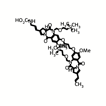 CC=CC1=CN2C(=O)c3cc(OC)c(OCCCOc4cc5c(cc4OC)C(=O)N4C=C(C=CCNC(=O)O)C[C@H]4C(=O)N5COCC[Si](C)(C)C)cc3N(COCC[Si](C)(C)C)C(=O)[C@@H]2C1